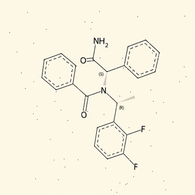 C[C@H](c1cccc(F)c1F)N(C(=O)c1ccccc1)[C@H](C(N)=O)c1ccccc1